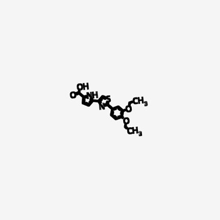 CCOc1ccc(-c2nc(-c3ccc(C(=O)O)[nH]3)cs2)cc1OCC